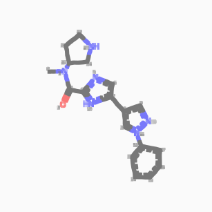 CN(C(=O)c1ncc(-c2cnn(-c3ccccc3)c2)[nH]1)[C@H]1CCNC1